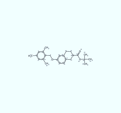 Cc1cc(C)c(COc2ccc3c(c2)CCN(C(=O)OC(C)(C)C)C3)c(C)c1